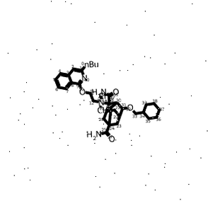 CCCCc1cc2ccccc2c(OCC[N+](C)(C)C2(C(N)=O)C3CC4CC(C(N)=O)(C3)CC2C4OCC2CCCCC2)n1